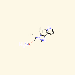 Cc1nc(-c2cccnc2C(C)C)c(C=O)n1C(COC(N)=O)C(C)(C)C